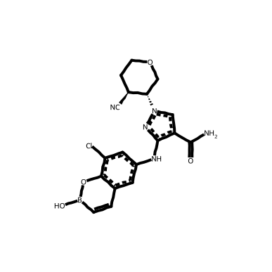 N#C[C@H]1CCOC[C@@H]1n1cc(C(N)=O)c(Nc2cc(Cl)c3c(c2)C=CB(O)O3)n1